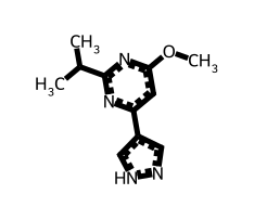 COc1cc(-c2cn[nH]c2)nc(C(C)C)n1